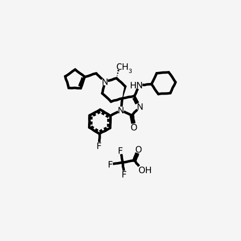 C[C@@H]1C[C@@]2(CCN1CC1=CCCC1)C(NC1CCCCC1)=NC(=O)N2c1cccc(F)c1.O=C(O)C(F)(F)F